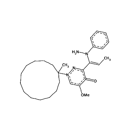 C/C=C(/c1nn(C2(C)CCCCCCCCCCCC2)cc(OC)c1=O)N(N)c1ccccc1